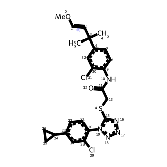 CO/C=C/C(C)(C)c1ccc(NC(=O)CSc2nnnn2-c2ccc(C3CC3)cc2Cl)c(Cl)c1